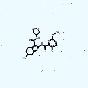 CSc1ncc(Cl)c(C(=O)Nc2sc3c(c2C(=O)NC2CCOC2)CCC(C)C3)n1